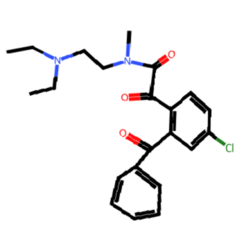 CCN(CC)CCN(C)C(=O)C(=O)c1ccc(Cl)cc1C(=O)c1ccccc1